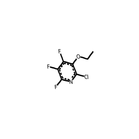 CCOc1c(Cl)nc(F)c(F)c1F